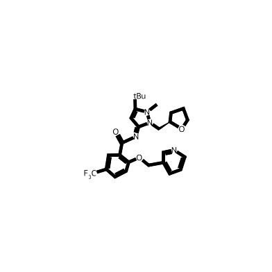 Cn1c(C(C)(C)C)cc(=NC(=O)c2cc(C(F)(F)F)ccc2OCc2cccnc2)n1C[C@H]1CCCO1